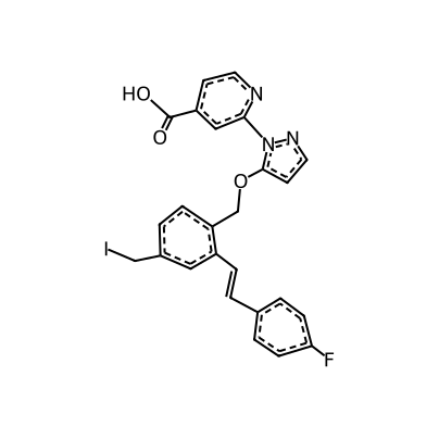 O=C(O)c1ccnc(-n2nccc2OCc2ccc(CI)cc2/C=C/c2ccc(F)cc2)c1